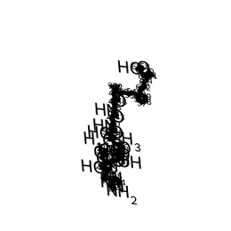 CC(C)(COP(=O)(O)OP(=O)(O)OCC1OC(n2cnc3c(N)ncnc32)C(O)C1OP(=O)(O)O)C(O)C(=O)NCCC(=O)NCCC(=O)CC1(CCCCc2ccccc2CCCCC2(CC(=O)O)CC2)CC1